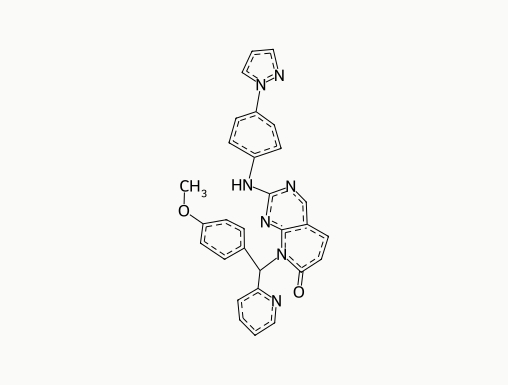 COc1ccc(C(c2ccccn2)n2c(=O)ccc3cnc(Nc4ccc(-n5cccn5)cc4)nc32)cc1